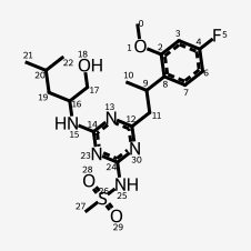 COc1cc(F)ccc1C(C)Cc1nc(NC(CO)CC(C)C)nc(NS(C)(=O)=O)n1